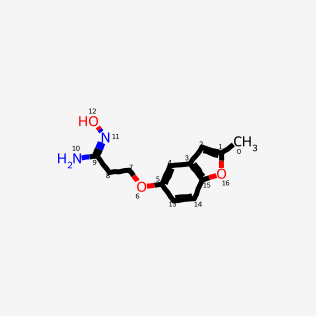 Cc1cc2cc(OCCC(N)=NO)ccc2o1